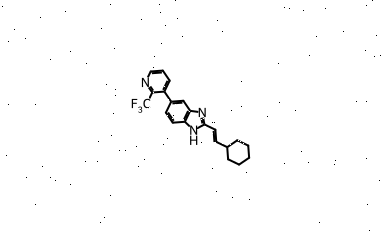 FC(F)(F)c1ncccc1-c1ccc2[nH]c(/C=C/C3CCCCC3)nc2c1